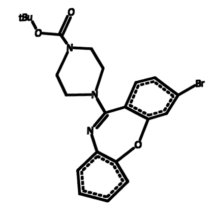 CC(C)(C)OC(=O)N1CCN(C2=Nc3ccccc3Oc3cc(Br)ccc32)CC1